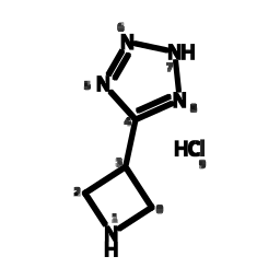 C1NCC1c1nn[nH]n1.Cl